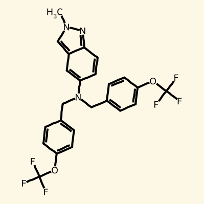 Cn1cc2cc(N(Cc3ccc(OC(F)(F)F)cc3)Cc3ccc(OC(F)(F)F)cc3)ccc2n1